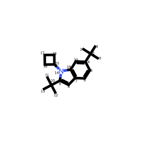 CC(C)(C)c1ccc2cc(C(C)(C)C)n(C3CCC3)c2c1